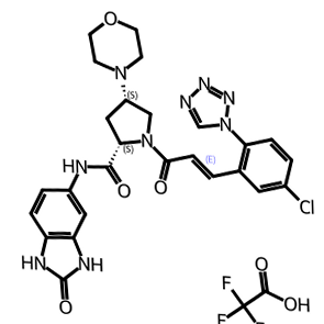 O=C(Nc1ccc2[nH]c(=O)[nH]c2c1)[C@@H]1C[C@H](N2CCOCC2)CN1C(=O)/C=C/c1cc(Cl)ccc1-n1cnnn1.O=C(O)C(F)(F)F